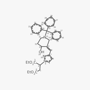 CCOC(=O)CC(C(=O)OCC)n1ccc(/C=C2/CN(C(c3ccccc3)(c3ccccc3)c3ccccc3)CCC2O)n1